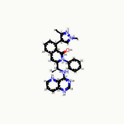 Cc1nn(C)cc1-c1cccc2cc([C@H](C)Nc3ncnc4cccnc34)n(-c3ccccc3)c(=O)c12